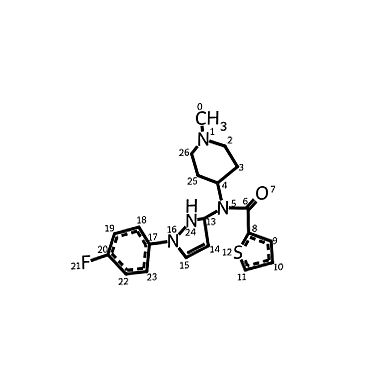 CN1CCC(N(C(=O)c2cccs2)C2C=CN(c3ccc(F)cc3)N2)CC1